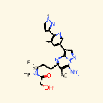 CCCN(C(=O)CO)[C@H](CC)CCc1nc2c(-c3cnc(-c4ccn(C)n4)c(C)c3)cnn2c(N)c1C(C)=O